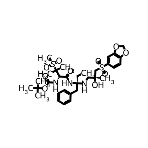 CC[C@](Cc1ccccc1)(NC[C@@](C)(O)CS(=O)(=O)c1ccc2c(c1)OCO2)NC(=O)[C@H](NC(=O)OC(C)(C)C)C(C)(C)S(C)(=O)=O